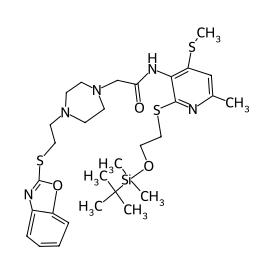 CSc1cc(C)nc(SCCO[Si](C)(C)C(C)(C)C)c1NC(=O)CN1CCN(CCSc2nc3ccccc3o2)CC1